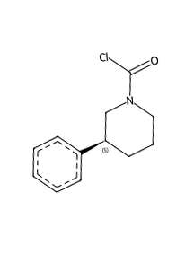 O=C(Cl)N1CCC[C@@H](c2ccccc2)C1